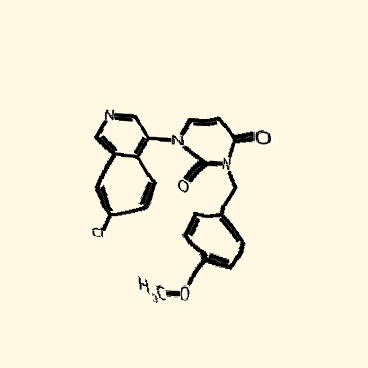 COc1ccc(Cn2c(=O)ccn(-c3cncc4cc(Cl)ccc34)c2=O)cc1